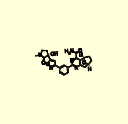 CN1CC[C@@](O)(c2cc(-c3cccc(-c4nc5c(c(C(N)=O)n4)[C@H]4CC[C@@H](C5)O4)c3)no2)C1=O